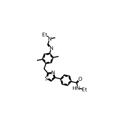 CCNC(=O)c1ccc(-c2csc(Cc3cc(C)c(N=CN(C)CC)cc3C)n2)cc1